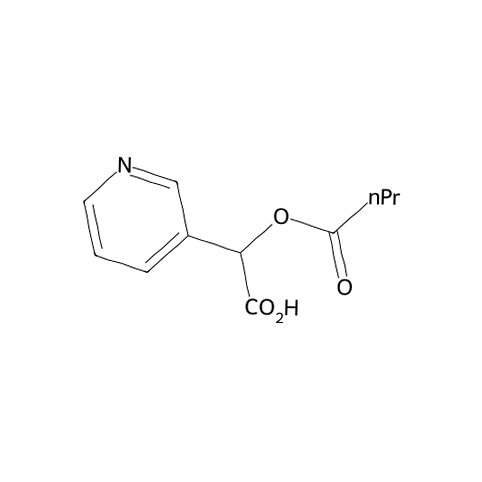 CCCC(=O)OC(C(=O)O)c1cccnc1